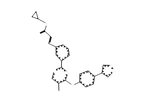 Cc1cnc(-c2cccc(/C=C/C(=O)NC3CC3)c2)nc1Nc1ccc(-c2cn[nH]c2)cc1